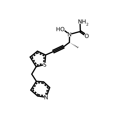 C[C@H](C#Cc1ccc(Cc2ccncc2)s1)N(O)C(N)=O